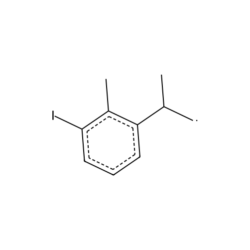 [CH2]C(C)c1cccc(I)c1C